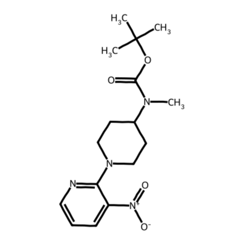 CN(C(=O)OC(C)(C)C)C1CCN(c2ncccc2[N+](=O)[O-])CC1